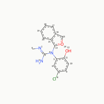 CN=C(N)N(c1cc(Cl)ccc1O)c1occ2ccccc12